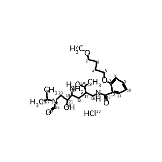 COCCCCOc1ccccc1C(=O)NCC(CC(N)C(O)CN(C=O)C(C)C)C(C)C.Cl